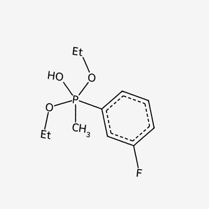 CCOP(C)(O)(OCC)c1cccc(F)c1